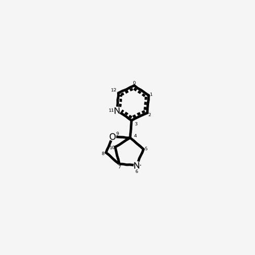 c1ccc(C23C[N]C(CO2)C3)nc1